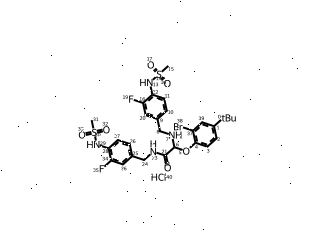 CC(C)(C)c1ccc(OC(NCc2ccc(NS(C)(=O)=O)c(F)c2)C(=O)NCc2ccc(NS(C)(=O)=O)c(F)c2)c(Br)c1.Cl